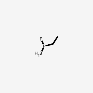 BP(F)CC